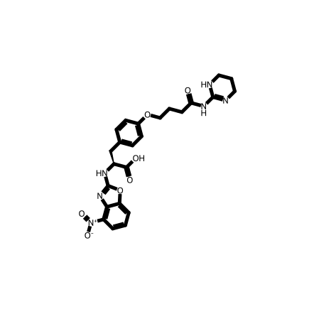 O=C(CCCOc1ccc(C[C@H](Nc2nc3c([N+](=O)[O-])cccc3o2)C(=O)O)cc1)NC1=NCCCN1